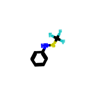 FC(F)(F)SNc1ccccc1